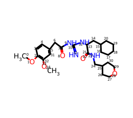 COc1ccc(CC(=O)NC(=N)NC(CC2CCCCC2)C(=O)NCC2CCOCC2)cc1OC